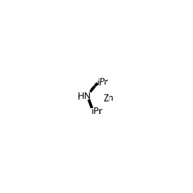 CC(C)NC(C)C.[Zn]